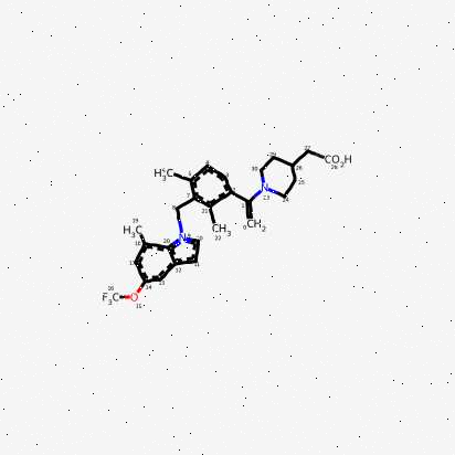 C=C(c1ccc(C)c(Cn2ccc3cc(OC(F)(F)F)cc(C)c32)c1C)N1CCC(CC(=O)O)CC1